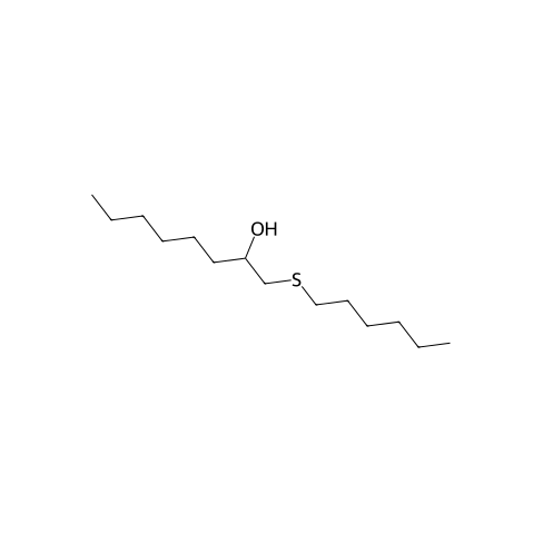 CCCCCCSCC(O)CCCCCC